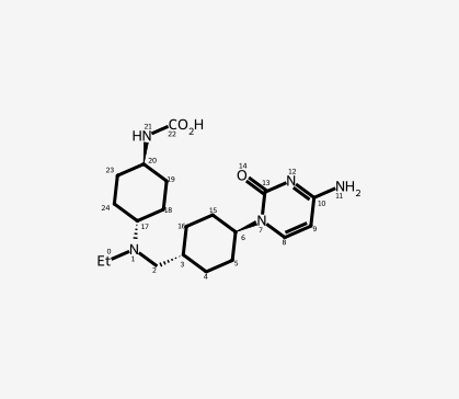 CCN(C[C@H]1CC[C@H](n2ccc(N)nc2=O)CC1)[C@H]1CC[C@H](NC(=O)O)CC1